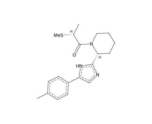 CS[C@H](C)C(=O)N1CCCC[C@@H]1c1ncc(-c2ccc(C)cc2)[nH]1